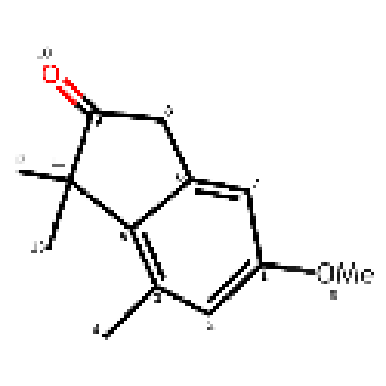 COc1cc(C)c2c(c1)CC(=O)C2(C)C